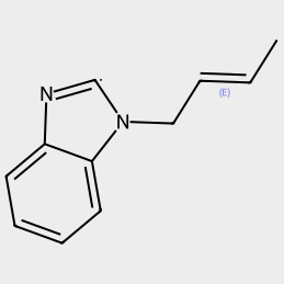 C/C=C/Cn1[c]nc2ccccc21